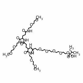 COCCOCCNC(=O)CCC(NC(=O)CCC(NC(=O)CCOCCOCCOCCOCCOP(=O)(O)C(C)C)C(=O)NCCOCCOC)C(=O)NCCOCCOC